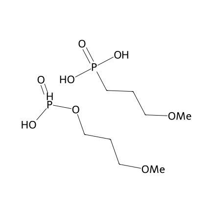 COCCCO[PH](=O)O.COCCCP(=O)(O)O